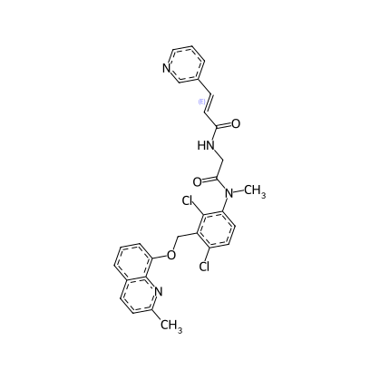 Cc1ccc2cccc(OCc3c(Cl)ccc(N(C)C(=O)CNC(=O)/C=C/c4cccnc4)c3Cl)c2n1